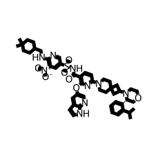 CC(C)c1ccccc1[C@H]1COCCN1C1CC2(CCN(c3ccc(C(=O)NS(=O)(=O)c4cnc(NCC5CCC(C)(C)CC5)c([N+](=O)[O-])c4)c(Oc4cnc5[nH]ccc5c4)n3)CC2)C1